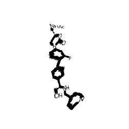 CC(=O)NC[C@H]1CN(c2ccc(-c3ccc([C@H](CO)NCc4ccncc4)cc3)c(F)c2)C(=O)O1